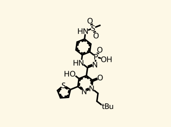 CC(C)(C)CCn1nc(-c2cccs2)c(O)c(C2=NP(=O)(O)c3cc(NS(C)(=O)=O)ccc3N2)c1=O